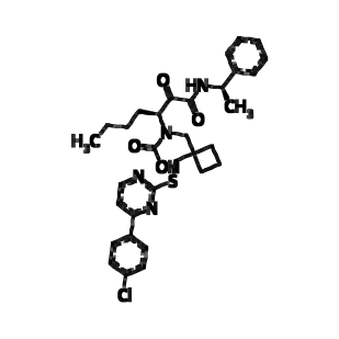 CCCC[C@@H](C(=O)C(=O)N[C@H](C)c1ccccc1)N(CC1(CSc2nccc(-c3ccc(Cl)cc3)n2)CCC1)C(=O)O